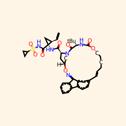 C=C[C@@H]1C[C@]1(NC(=O)[C@@H]1C[C@@H]2CN1C(=O)[C@H](C(C)(C)C)NC(=O)OCCCC/C=C/c1ccc3c(c1)/C(=N\O2)c1ccccc1-3)C(=O)NS(=O)(=O)C1CC1